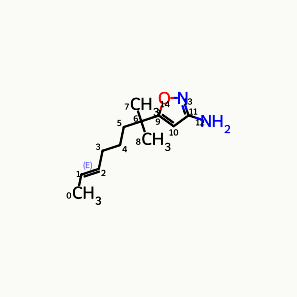 C/C=C/CCCC(C)(C)c1cc(N)no1